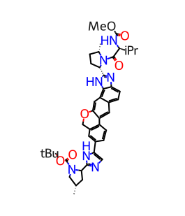 COC(=O)N[C@H](C(=O)N1[C@@H](C)CC[C@H]1c1nc2ccc3cc4c(cc3c2[nH]1)OCc1cc(-c2cnc(C3C[C@H](C)CN3C(=O)OC(C)(C)C)[nH]2)ccc1-4)C(C)C